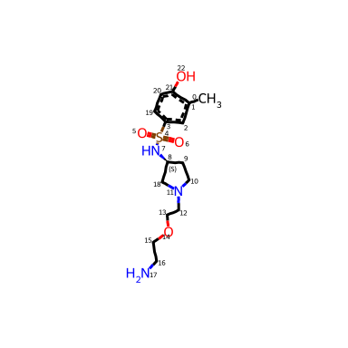 Cc1cc(S(=O)(=O)N[C@H]2CCN(CCOCCN)C2)ccc1O